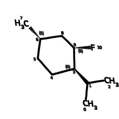 CC(C)[C@H]1CC[C@H](C)C[C@@H]1F